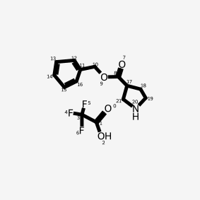 O=C(O)C(F)(F)F.O=C(OCc1ccccc1)C1CCNC1